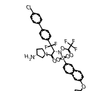 N[C@@H]1CCN(C(=O)[C@@H](N(OC(=O)C(F)(F)F)S(=O)(=O)c2ccc3cc(OC4CCCC4)ccc3c2)C(F)(F)c2ccc(-c3ccc(Cl)cc3)cc2)C1